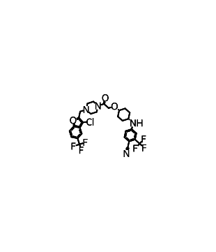 N#Cc1ccc(N[C@H]2CC[C@H](OCC(=O)N3CCN(Cc4oc5ccc(C(F)(F)F)cc5c4Cl)CC3)CC2)cc1C(F)(F)F